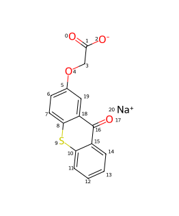 O=C([O-])COc1ccc2sc3ccccc3c(=O)c2c1.[Na+]